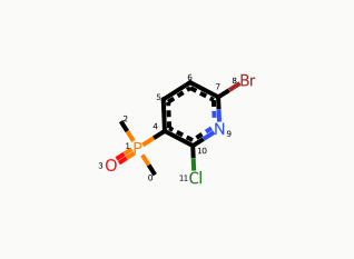 CP(C)(=O)c1ccc(Br)nc1Cl